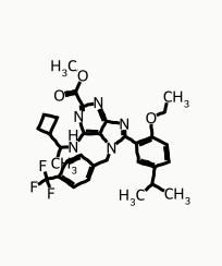 CCOc1ccc(C(C)C)cc1-c1nc2nc(C(=O)OC)nc(NC(C)C3CCC3)c2n1Cc1ccc(C(F)(F)F)cc1